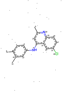 Cc1cc(Nc2ccc(C)c(C)c2)c2cc(Cl)ccc2n1